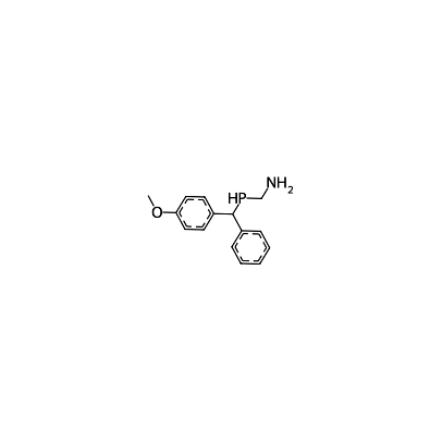 COc1ccc(C(PCN)c2ccccc2)cc1